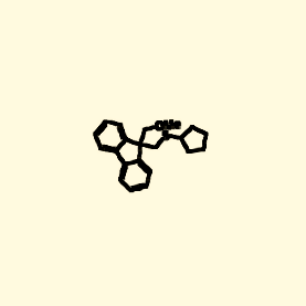 COCC1(CSC2CCCC2)c2ccccc2-c2ccccc21